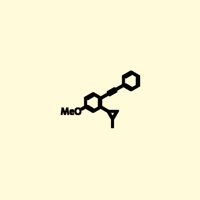 COc1ccc(C#Cc2ccccc2)c(C2CC2C)c1